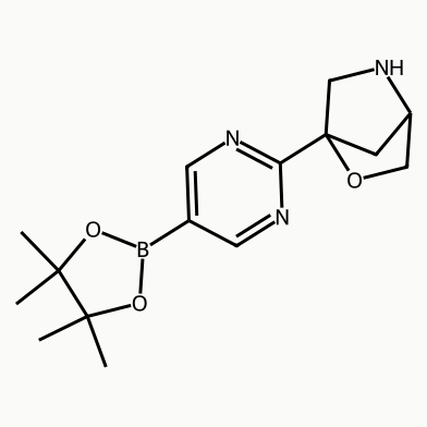 CC1(C)OB(c2cnc(C34CNC(CO3)C4)nc2)OC1(C)C